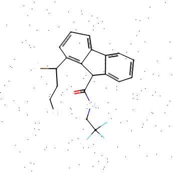 CCCC(Br)c1cccc2c1C(C(=O)NCC(F)(F)F)c1ccccc1-2